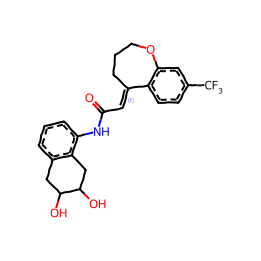 O=C(/C=C1\CCCOc2cc(C(F)(F)F)ccc21)Nc1cccc2c1CC(O)C(O)C2